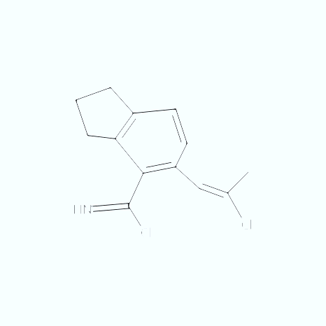 C/C(Cl)=C\c1ccc2c(c1C(=N)Cl)CCC2